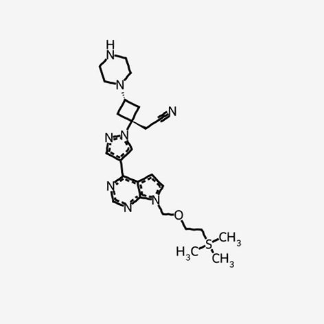 CS(C)(C)CCOCn1ccc2c(-c3cnn([C@]4(CC#N)C[C@H](N5CCNCC5)C4)c3)ncnc21